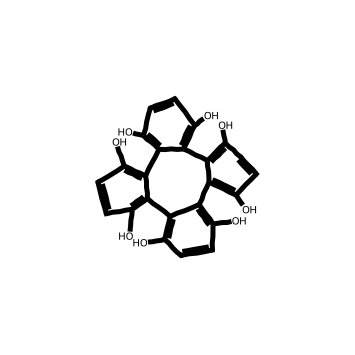 Oc1ccc(O)c2c1-c1c(O)ccc(O)c1-c1c(O)ccc(O)c1-c1c(O)ccc(O)c1-2